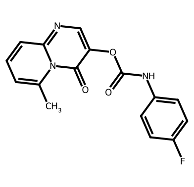 Cc1cccc2ncc(OC(=O)Nc3ccc(F)cc3)c(=O)n12